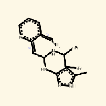 CCCC(CC(C)C)NC(/C=c1/nccc/c1=C/P)Nc1cc(C)[nH]n1